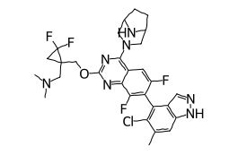 Cc1cc2[nH]ncc2c(-c2c(F)cc3c(N4CC5CCC(C4)N5)nc(OCC4(CN(C)C)CC4(F)F)nc3c2F)c1Cl